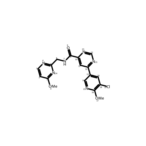 COc1ccnc(CNC(=O)c2cc(-c3cnc(OC)c(Cl)c3)ncn2)n1